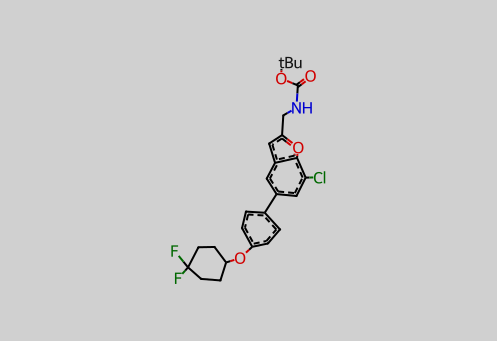 CC(C)(C)OC(=O)NCc1cc2cc(-c3ccc(OC4CCC(F)(F)CC4)cc3)cc(Cl)c2o1